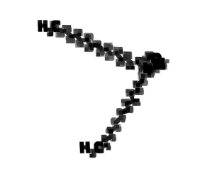 CCCCCCCCC=CCCCCCCCC[N+]1(CCCCCCCCC=CCCCCCCCC)CCOCC1.[Cl-]